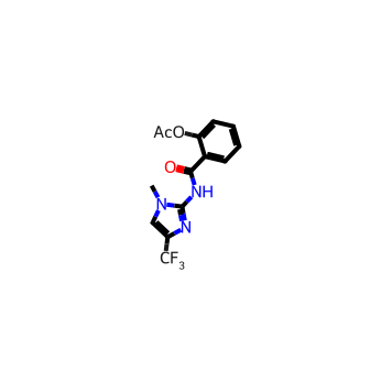 CC(=O)Oc1ccccc1C(=O)Nc1nc(C(F)(F)F)cn1C